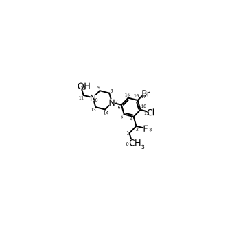 CCC(F)c1cc(N2CCN(CO)CC2)cc(Br)c1Cl